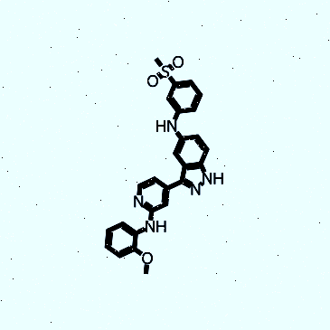 COc1ccccc1Nc1cc(-c2n[nH]c3ccc(Nc4cccc(S(C)(=O)=O)c4)cc23)ccn1